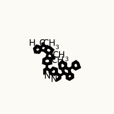 CC1(C)c2ccccc2-c2c1ccc1c2-c2ccc(-c3ccnc4c3ccc3c(-c5c6ccccc6c(-c6ccccc6)c6ccccc56)ccnc34)cc2C1(C)C